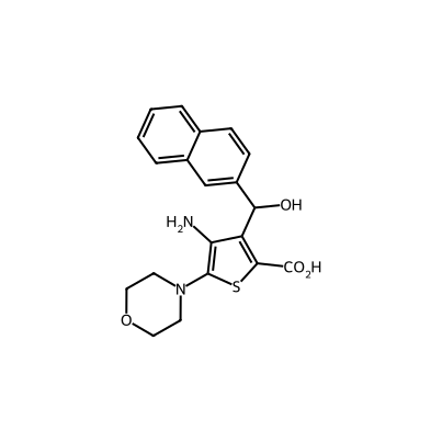 Nc1c(N2CCOCC2)sc(C(=O)O)c1C(O)c1ccc2ccccc2c1